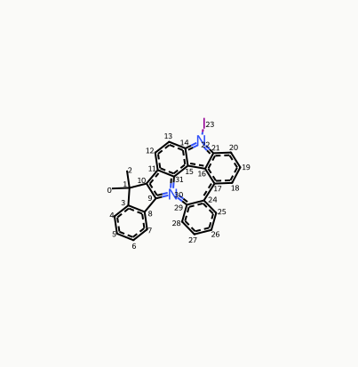 CC1(C)c2ccccc2-c2c1c1ccc3c4c5c(cccc5n3I)c3ccccc3n2c14